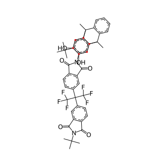 CC(C)(C)c1cc2c(cc1O)C1(C)c3ccccc3C2(C)c2cc(O)c(N3C(=O)c4ccc(C(c5ccc6c(c5)C(=O)N(C(C)(C)C)C6=O)(C(F)(F)F)C(F)(F)F)cc4C3=O)cc21